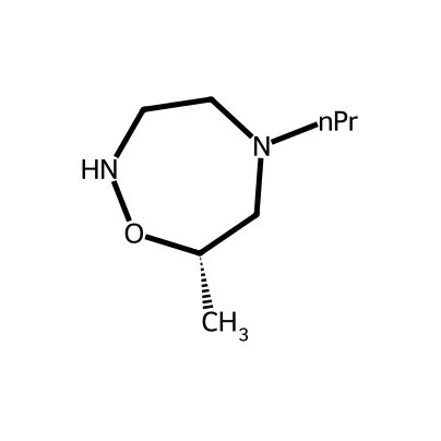 CCCN1CCNO[C@@H](C)C1